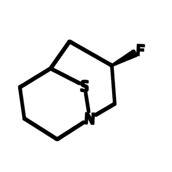 F[C@@H]1CC2CCCN(C1)S2